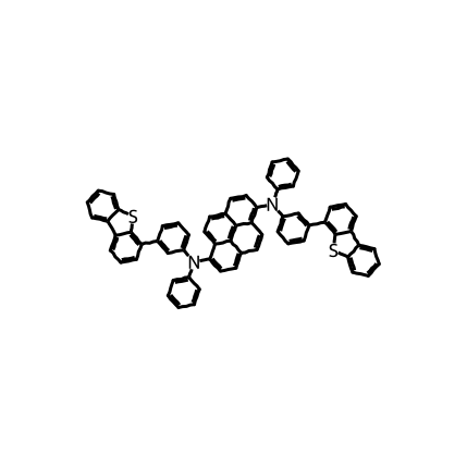 c1ccc(N(c2cccc(-c3cccc4c3sc3ccccc34)c2)c2ccc3ccc4c(N(c5ccccc5)c5cccc(-c6cccc7c6sc6ccccc67)c5)ccc5ccc2c3c54)cc1